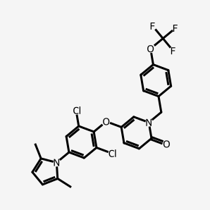 Cc1ccc(C)n1-c1cc(Cl)c(Oc2ccc(=O)n(Cc3ccc(OC(F)(F)F)cc3)c2)c(Cl)c1